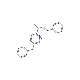 CC(C=Cc1ccccc1)c1ccc(Cc2ccccc2)cn1